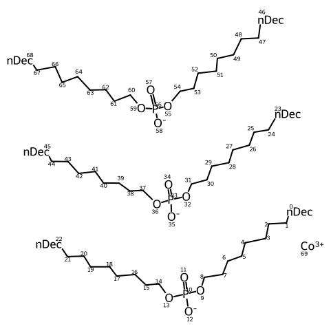 CCCCCCCCCCCCCCCCCCOP(=O)([O-])OCCCCCCCCCCCCCCCCCC.CCCCCCCCCCCCCCCCCCOP(=O)([O-])OCCCCCCCCCCCCCCCCCC.CCCCCCCCCCCCCCCCCCOP(=O)([O-])OCCCCCCCCCCCCCCCCCC.[Co+3]